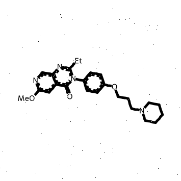 CCc1nc2cnc(OC)cc2c(=O)n1-c1ccc(OCCCN2CCCCC2)cc1